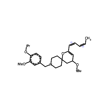 C/C=C\C=C/C1=CC(OC(C)(C)C)CC2(CCN(Cc3ccc(OC(C)C)c(OC)c3)CC2)O1